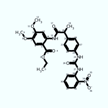 CCOC(=O)c1cc(OC)c(OC)cc1NC(=O)C(C)c1ccc(NC(=O)Nc2ccccc2[N+](=O)[O-])cc1